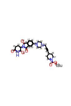 CC(C)(C)OC(=O)N1CCC(C#CCN2CCN(c3ccc4c(c3)C(=O)N(C3CCC(=O)NC3=O)C4=O)CC2)CC1